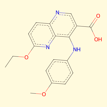 CCOc1ccc2ncc(C(=O)O)c(Nc3ccc(OC)cc3)c2n1